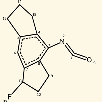 O=C=Nc1c2c(cc3c1CCC3F)CCC2